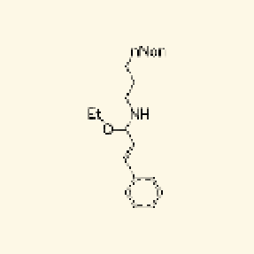 CCCCCCCCCCCCNC(C=Cc1ccccc1)OCC